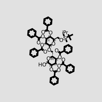 CC(C)C(C)(C)[Si](C)(C)OC[C@H]1O[C@@H](OC[C@H]2O[C@@H](O)[C@H](OC(=O)c3ccccc3)[C@@H](OC(=O)c3ccccc3)[C@@H]2OC(=O)c2ccccc2)[C@H](OC(=O)c2ccccc2)[C@@H](OC(=O)c2ccccc2)[C@@H]1OC(=O)c1ccccc1